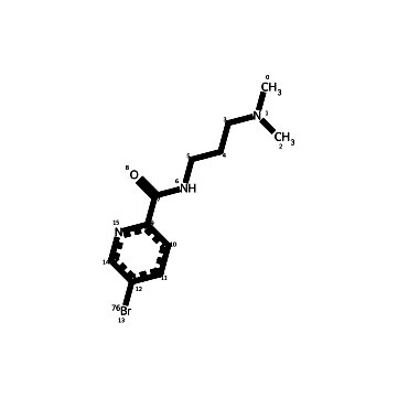 CN(C)CCCNC(=O)c1ccc([76Br])cn1